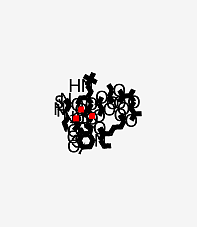 CCN(C(=O)CCCC(=O)OC(C)C(=O)OC(C)C(=O)OC(C)C(=O)OC(C)C(=O)OC(C)C(=O)OC(CNC(C)(C)C)COc1nsnc1N1CCOCC1)[C@@H]1C[C@@H](C)S(=O)(=O)c2sc(S(N)(=O)=O)cc21